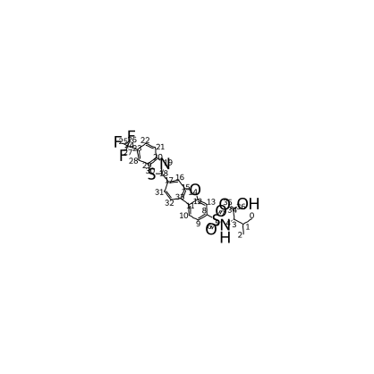 CC(C)[C@H](NS(=O)(=O)c1ccc2c(c1)oc1cc(-c3nc4ccc(C(F)(F)F)cc4s3)ccc12)C(=O)O